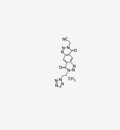 C[C@H](Cn1ncnn1)n1nnc2cc3c(=O)n(CC#N)nnc3cc2c1=O